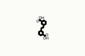 O=C(O)c1cccc(C=Cc2cccc(C(=O)O)c2)c1